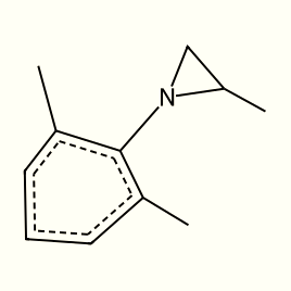 Cc1cccc(C)c1N1CC1C